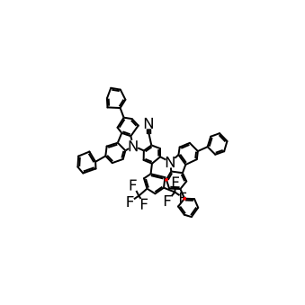 N#Cc1cc(-n2c3ccc(-c4ccccc4)cc3c3cc(-c4ccccc4)ccc32)c(-c2cc(C(F)(F)F)cc(C(F)(F)F)c2)cc1-n1c2ccc(-c3ccccc3)cc2c2cc(-c3ccccc3)ccc21